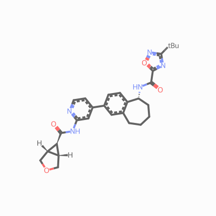 CC(C)(C)c1noc(C(=O)N[C@@H]2CCCCc3cc(-c4ccnc(NC(=O)[C@H]5[C@@H]6COC[C@@H]65)c4)ccc32)n1